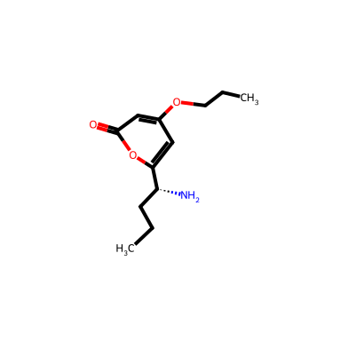 CCCOc1cc([C@H](N)CCC)oc(=O)c1